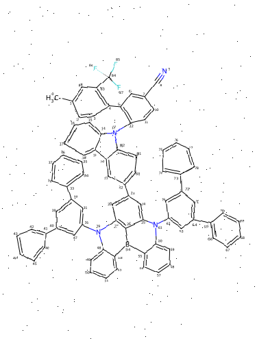 Cc1ccc(-c2cc(C#N)ccc2-n2c3ccccc3c3cc(-c4cc5c6c(c4)N(c4cc(-c7ccccc7)cc(-c7ccccc7)c4)c4ccccc4B6c4ccccc4N5c4cc(-c5ccccc5)cc(-c5ccccc5)c4)ccc32)c(C(F)(F)F)c1